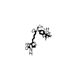 CCN(C(=O)CCCCC1SCC2NC(=O)NC21)c1ccc(C(O)(C(F)(F)F)C(F)(F)F)cc1